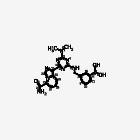 CN(C)c1nc(NCc2cccc(B(O)O)c2)nc(-c2ncn3c(C(N)=O)cccc23)n1